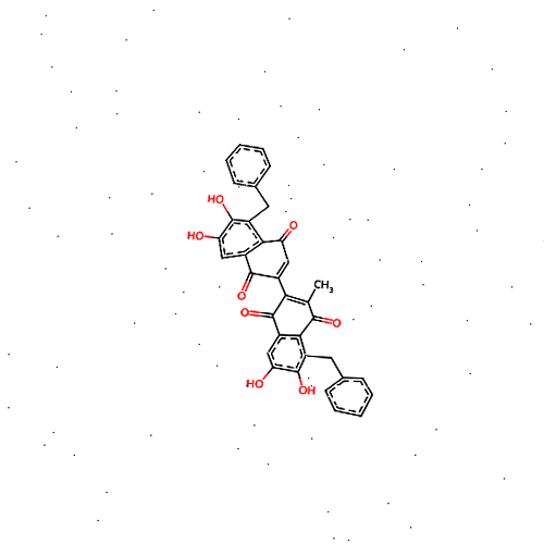 CC1=C(C2=CC(=O)c3c(cc(O)c(O)c3Cc3ccccc3)C2=O)C(=O)c2cc(O)c(O)c(Cc3ccccc3)c2C1=O